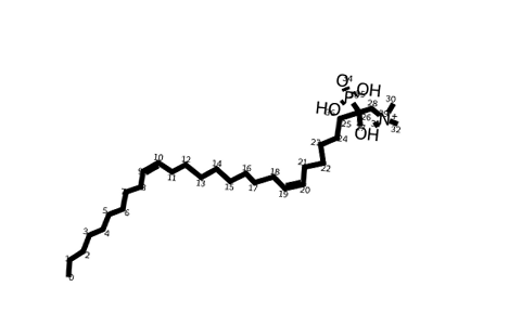 CCCCCCCCC/C=C\CCCCCCCC/C=C\CCCCCC(O)(C[N+](C)(C)C)P(=O)(O)O